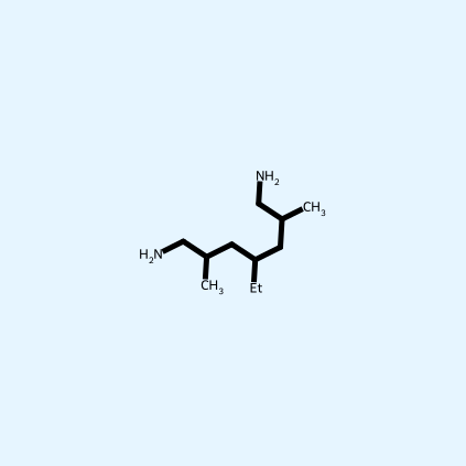 CCC(CC(C)CN)CC(C)CN